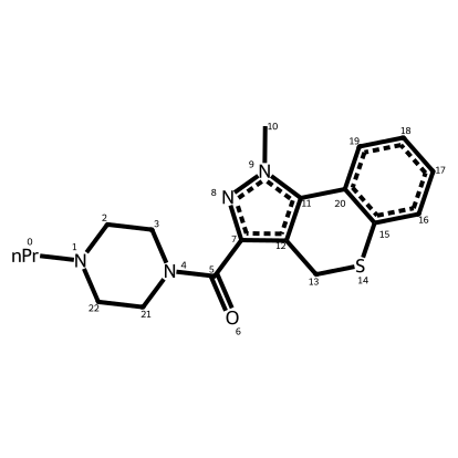 CCCN1CCN(C(=O)c2nn(C)c3c2CSc2ccccc2-3)CC1